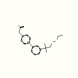 CCOOCC(C)(C)c1cccc(-c2ccc(CC(=O)O)cc2)c1